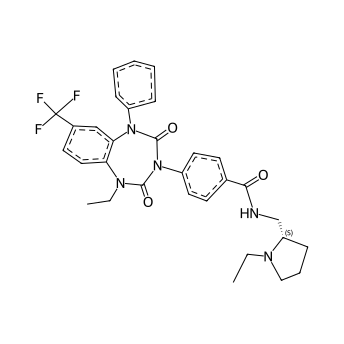 CCN1C(=O)N(c2ccc(C(=O)NC[C@@H]3CCCN3CC)cc2)C(=O)N(c2ccccc2)c2cc(C(F)(F)F)ccc21